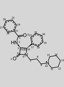 O=C(N[C@@H]1C(=O)N(CCCN2CCCCC2)[C@@H]1c1ccccc1)c1ccccc1